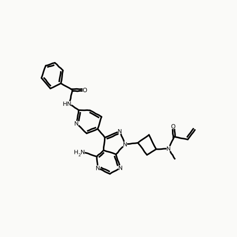 C=CC(=O)N(C)C1CC(n2nc(-c3ccc(NC(=O)c4ccccc4)nc3)c3c(N)ncnc32)C1